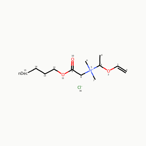 C=COC(C)[N+](C)(C)CC(=O)OCCCCCCCCCCCCC.[Cl-]